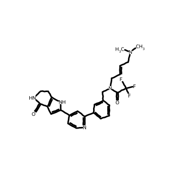 CN(C)C/C=C/CN(Cc1cccc(-c2cc(-c3cc4c([nH]3)CCNC4=O)ccn2)c1)C(=O)C(F)(F)F